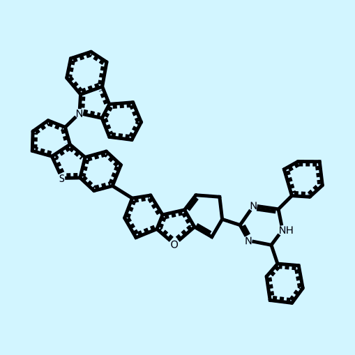 C1=c2oc3ccc(-c4ccc5c(c4)sc4cccc(-n6c7ccccc7c7ccccc76)c45)cc3c2=CCC1C1=NC(c2ccccc2)NC(c2ccccc2)=N1